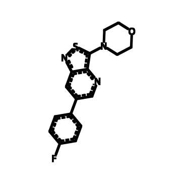 Fc1ccc(-c2cnc3c(N4CCOCC4)snc3c2)cc1